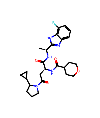 C[C@H](NC(=O)[C@H](CC(=O)N1CCCC1C1CC1)NC(=O)C1CCOCC1)c1nc2cccc(F)c2[nH]1